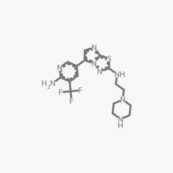 Nc1ncc(-c2cnc3sc(NCCN4CCNCC4)nn23)cc1C(F)(F)F